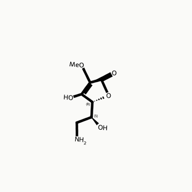 COC1=C(O)[C@@H]([C@@H](O)CN)OC1=O